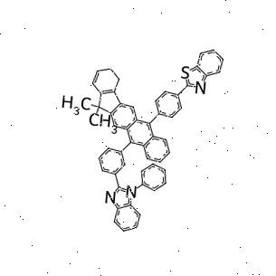 CC1(C)C2=C(CCC=C2)c2cc3c(-c4ccc(-c5nc6ccccc6s5)cc4)c4ccccc4c(-c4cccc(-c5nc6ccccc6n5-c5ccccc5)c4)c3cc21